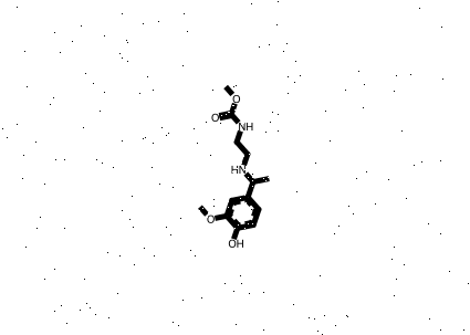 COC(=O)NCCNC(C)c1ccc(O)c(OC)c1